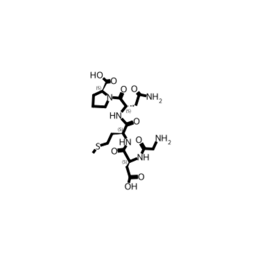 CSCC[C@H](NC(=O)[C@H](CC(=O)O)NC(=O)CN)C(=O)N[C@@H](CC(N)=O)C(=O)N1CCC[C@H]1C(=O)O